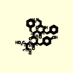 C[C@@H](O)[C@H](NC(=O)[C@H](Cc1ccc(O)cc1)NC(=O)[C@H](Cc1ccccc1)NC(=O)[C@H](Cc1ccccc1)NC(=O)CN)C(=O)O